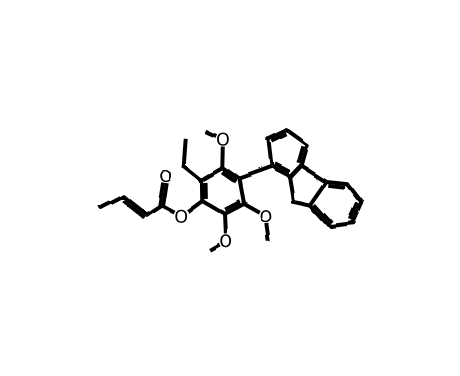 CC=CC(=O)Oc1c(CC)c(OC)c(-c2cccc3c2Cc2ccccc2-3)c(OC)c1OC